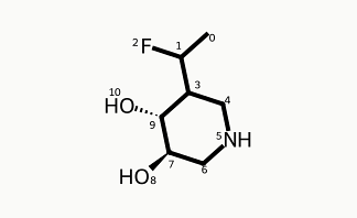 CC(F)C1CNC[C@@H](O)[C@@H]1O